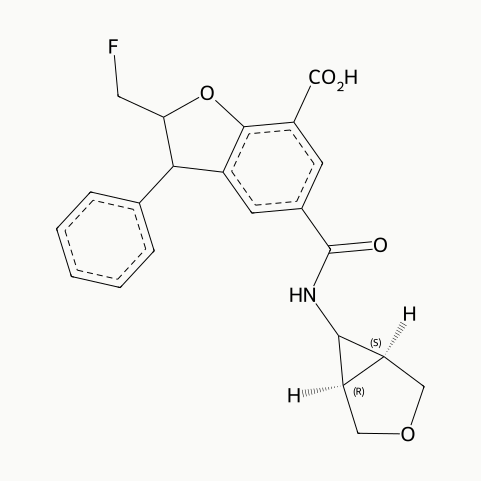 O=C(NC1[C@H]2COC[C@@H]12)c1cc(C(=O)O)c2c(c1)C(c1ccccc1)C(CF)O2